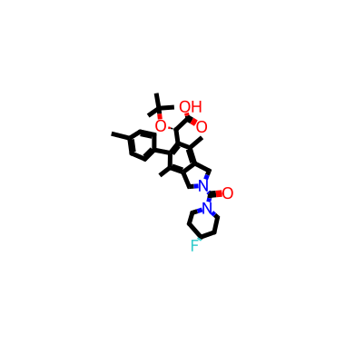 Cc1ccc(-c2c(C)c3c(c(C)c2[C@H](OC(C)(C)C)C(=O)O)CN(C(=O)N2CCC(F)CC2)C3)cc1